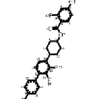 CCc1ccc(C(=O)OC2CCC(c3ccc(-c4ccc(C)cc4)c(F)c3F)CC2)c(F)c1